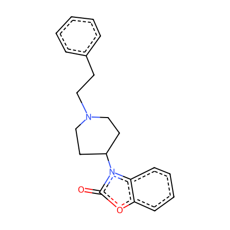 O=c1oc2ccccc2n1C1CCN(CCc2ccccc2)CC1